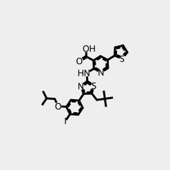 CC(C)COc1cc(-c2nc(Nc3ncc(-c4cccs4)cc3C(=O)O)sc2CC(C)(C)C)ccc1I